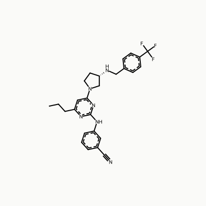 CCCc1cc(N2CC[C@H](NCc3ccc(C(F)(F)F)cc3)C2)nc(Nc2cccc(C#N)c2)n1